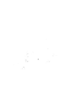 CC(=O)c1cc(F)cc2c1OC(CN1C(=O)c3ccccc3C1=O)C2